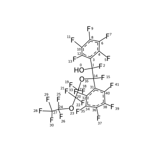 OC(F)(c1c(F)c(F)c(F)c(F)c1F)C(F)(OC(F)(F)C(F)(F)OC(F)(F)C(F)(F)F)c1c(F)c(F)c(F)c(F)c1F